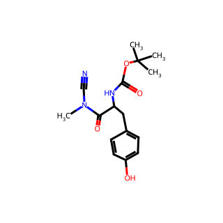 CN(C#N)C(=O)C(Cc1ccc(O)cc1)NC(=O)OC(C)(C)C